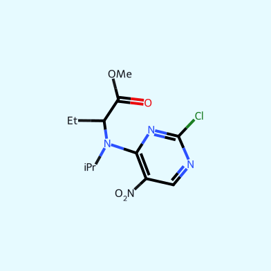 CCC(C(=O)OC)N(c1nc(Cl)ncc1[N+](=O)[O-])C(C)C